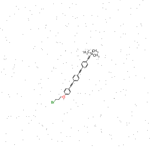 C[Si](C)(C)C#Cc1ccc(C#Cc2ccc(C#Cc3ccc(OCCCBr)cc3)cc2)cc1